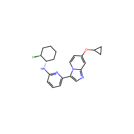 F[C@H]1CCCC[C@@H]1Nc1cccc(-c2cnc3cc(OC4CC4)ccn23)n1